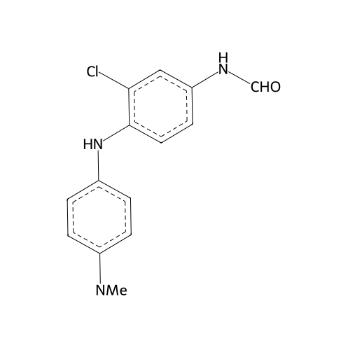 CNc1ccc(Nc2ccc(NC=O)cc2Cl)cc1